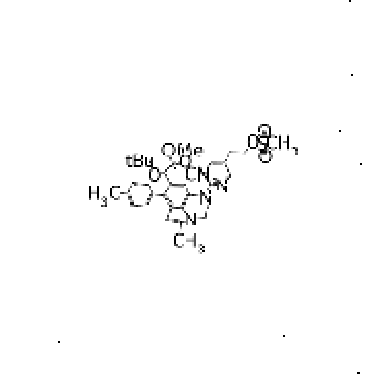 COC(=O)[C@@H](OC(C)(C)C)c1c(C)c2c3c(cc(C)n3CCN2c2ncc(CCOS(C)(=O)=O)cn2)c1-c1ccc(C)cc1